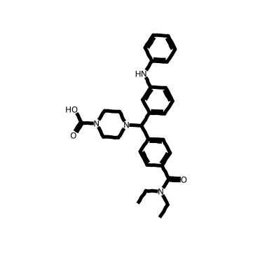 CCN(CC)C(=O)c1ccc(C(c2cccc(Nc3ccccc3)c2)N2CCN(C(=O)O)CC2)cc1